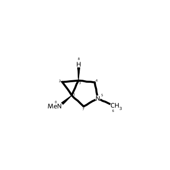 CN[C@@]12C[C@@H]1CN(C)C2